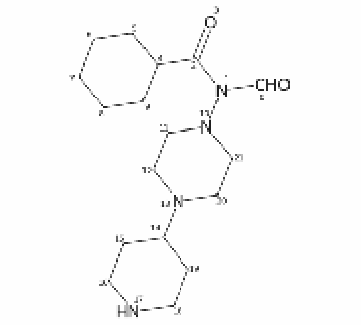 O=CN(C(=O)C1CCCCC1)N1CCN(C2CCNCC2)CC1